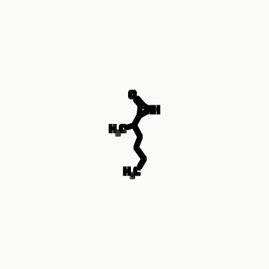 CCCCC(C)C1NC1=O